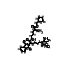 Cl.Cl.N=C(CF)NCCCCC(C(=O)NCCCC(N)C(=O)OCc1ccccc1)N1C(=O)c2ccccc2C1=O